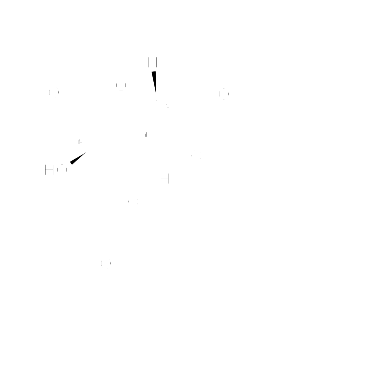 CCOCO[C@H]1[C@@H]2OC(c3ccccc3)OC[C@H]2OC(OC)[C@@H]1O